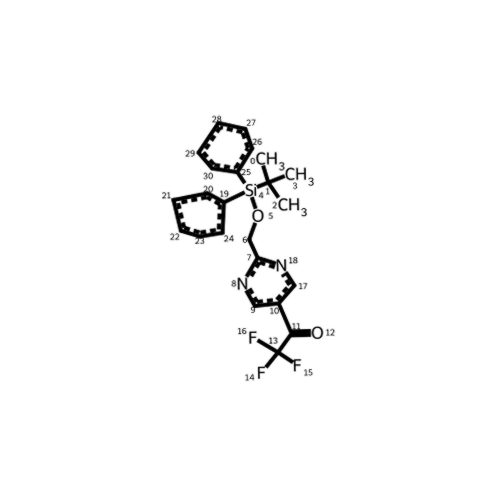 CC(C)(C)[Si](OCc1ncc(C(=O)C(F)(F)F)cn1)(c1ccccc1)c1ccccc1